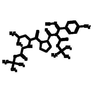 [CH2]c1ccc(C(=NO)N(C(=O)OC(C)(C)C)C(=O)[C@@H]2CCCN2C(=O)C(CC(C)C)NCC(=O)OC(C)(C)C)cc1